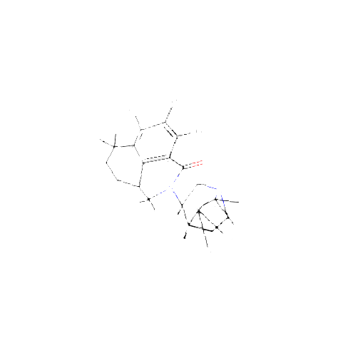 [2H]c1c([2H])c2c3c(c1[2H])C([2H])([2H])CC[C@@H]3C([2H])([2H])N([C@]1([2H])CN3CC[C@H]1C([2H])([2H])C3([2H])[2H])C2=O